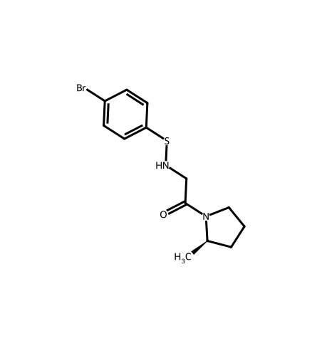 C[C@@H]1CCCN1C(=O)CNSc1ccc(Br)cc1